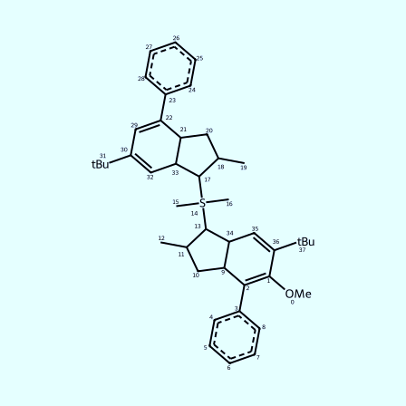 COC1=C(c2ccccc2)C2CC(C)C(S(C)(C)C3C(C)CC4C(c5ccccc5)=CC(C(C)(C)C)=CC43)C2C=C1C(C)(C)C